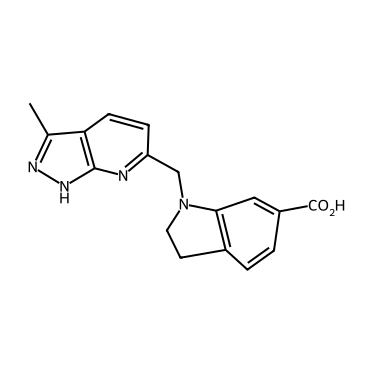 Cc1n[nH]c2nc(CN3CCc4ccc(C(=O)O)cc43)ccc12